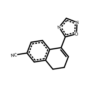 N#Cc1ccc2c(c1)CCC=C2c1ncno1